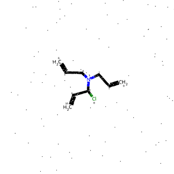 C=CCN(CC=C)C(Cl)C=C